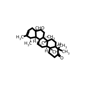 CC1=CC[C@]2(C=O)CC[C@]3(C)C(CC[C@@H]4[C@@]5(C)CCC(=O)C(C)(C)[C@@H]5CC[C@]43C)[C@H]2[C@@H]1C